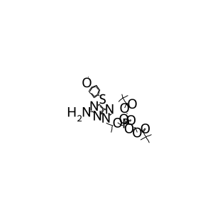 COc1ccc(Sc2nc(N)nc3c2ncn3CC(C)OCP(=O)(OCOC(=O)C(C)(C)C)OCOC(=O)C(C)(C)C)cc1